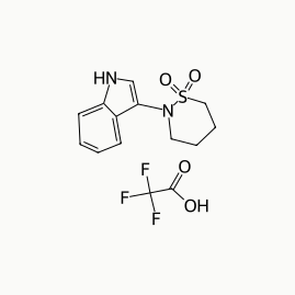 O=C(O)C(F)(F)F.O=S1(=O)CCCCN1c1c[nH]c2ccccc12